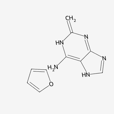 C=C1N=c2nc[nH]c2=C(N)N1.c1ccoc1